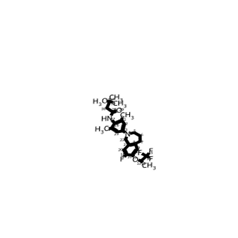 Cc1cc(N2CCCc3cc(OC(C)C(F)(F)F)c(F)cc3C2)cc(C)c1NC(=O)CC(C)(C)C